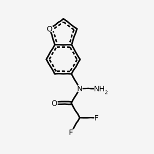 NN(C(=O)C(F)F)c1ccc2occc2c1